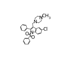 CN1CCN(Cc2c(-c3ccccc3)n(S(=O)(=O)c3ccccc3)c3ccc(Cl)cc23)CC1